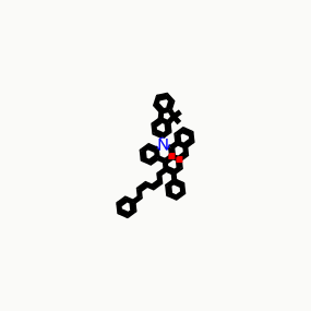 CC1(C)c2ccccc2-c2ccc(N(c3ccccc3-c3cccc(C4=CCCC=C4)c3C/C=C\C=C/Cc3ccccc3)c3cccc4ccccc34)cc21